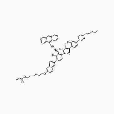 C=CC(=O)OCCCCCCOc1ccc2cc(-c3ccc(-c4ccc(-c5ccc(-c6ccc(CCCCC)cc6)cc5F)c(F)c4F)c(/C=N/N=C/c4c5ccccc5cc5ccccc45)c3F)ccc2c1